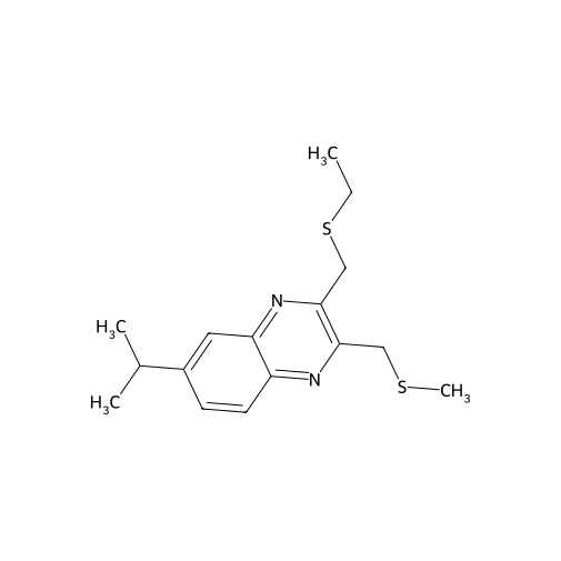 CCSCc1nc2cc(C(C)C)ccc2nc1CSC